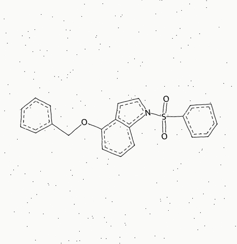 O=S(=O)(c1ccccc1)n1ccc2c(OCc3ccccc3)cccc21